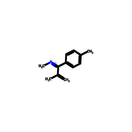 C=C(C)/C(=N\C)c1ccc(C)cc1